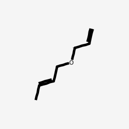 C=C[CH]OCC=CC